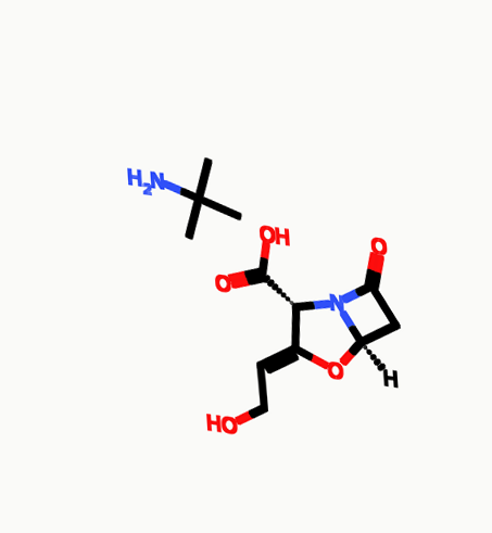 CC(C)(C)N.O=C(O)[C@H]1/C(=C/CO)O[C@@H]2CC(=O)N21